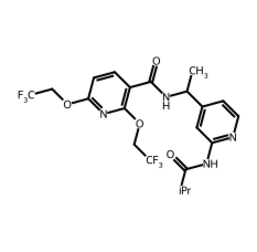 CC(C)C(=O)Nc1cc(C(C)NC(=O)c2ccc(OCC(F)(F)F)nc2OCC(F)(F)F)ccn1